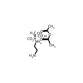 CC(=O)O.CC(=O)O.CC(=O)OC(C)=O.NCCN